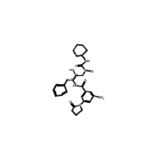 CCN(C[C@H](O)[C@H](Cc1ccccc1)NC(=O)c1cc(N2CCCC2=O)cc([N+](=O)[O-])c1)C(=O)NC1CCCCC1